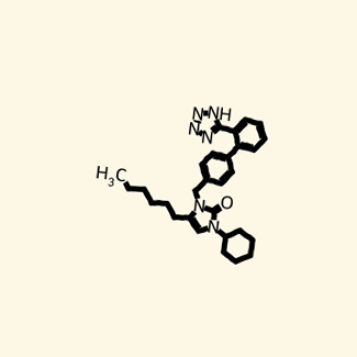 CCCCCCc1cn(C2CCCCC2)c(=O)n1Cc1ccc(-c2ccccc2-c2nnn[nH]2)cc1